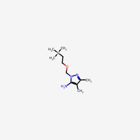 Cc1nn(COCC[Si](C)(C)C)c(N)c1C